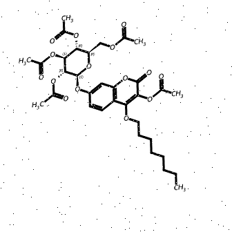 CCCCCCCCOc1c(OC(C)=O)c(=O)oc2cc(O[C@@H]3O[C@H](COC(C)=O)[C@@H](OC(C)=O)[C@H](OC(C)=O)[C@H]3OC(C)=O)ccc12